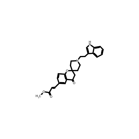 COC(=O)C=Cc1ccc2c(c1)C(=O)CC1(CCN(CCc3c[nH]c4ccccc34)CC1)O2